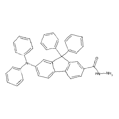 NNC(=O)c1ccc2c(c1)C(c1ccccc1)(c1ccccc1)c1cc(N(c3ccccc3)c3ccccc3)ccc1-2